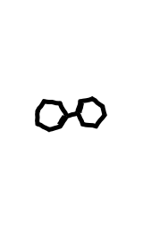 [CH]1C=C(C2=C[CH]CCCC2)CCCC1